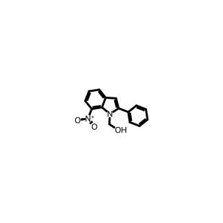 O=[N+]([O-])c1cccc2cc(-c3ccccc3)n(CO)c12